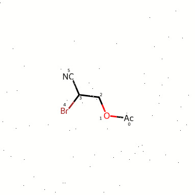 CC(=O)OCC(Br)C#N